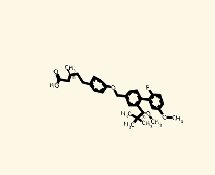 COc1ccc(F)c(-c2ccc(COc3ccc(CC[C@H](C)CC(=O)O)cc3)cc2[C@H](OC)C(C)(C)C)c1